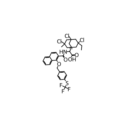 CCC1(Cl)CC2(Cl)CC(C)(Cl)C[C@@](C(NC(=O)c3ccc4ccccc4c3OCc3ccc(SC(F)(F)F)cc3)C(=O)O)(C1)C2